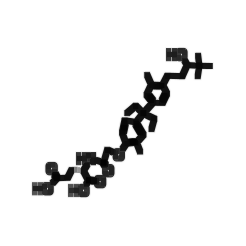 CCC(CC)(c1ccc(CCC(O)C(C)(C)C)c(C)c1)c1ccc(OCC(=O)N[C@@H](CCC(=O)O)C(=O)O)c(C)c1